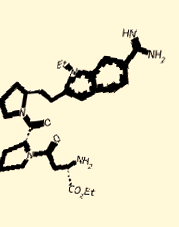 CCOC(=O)[C@@H](N)CC(=O)N1CCC[C@@H]1C(=O)N1CCC[C@H]1CCc1cc2ccc(C(=N)N)cc2n1CC